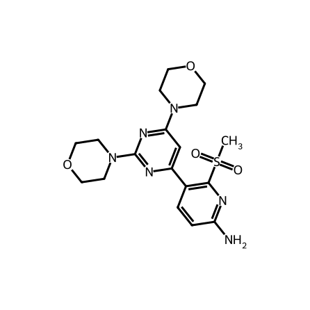 CS(=O)(=O)c1nc(N)ccc1-c1cc(N2CCOCC2)nc(N2CCOCC2)n1